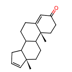 C[C@@]12C=CCC1C1CCC3=CC(=O)CC[C@]3(C)C1CC2